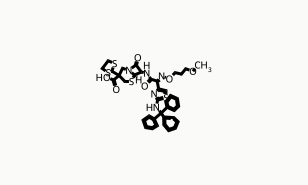 COCCCON=C(C(=O)NC1C(=O)N2CC(C(=O)O)(C3SCCS3)CS[C@H]12)c1csc(NC(c2ccccc2)(c2ccccc2)c2ccccc2)n1